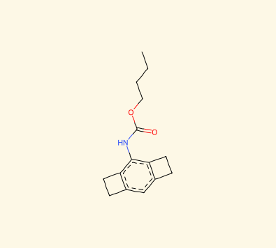 CCCCOC(=O)Nc1c2c(cc3c1CC3)CC2